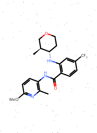 COc1ccc(NC(=O)c2ccc(C(F)(F)F)cc2N[C@H]2CCOC[C@@H]2C)c(C)n1